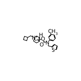 Cc1cccc(N(Cc2cccs2)C(=O)O[C@H]2C[N+]3(CC4CCC4)CCC2CC3)c1